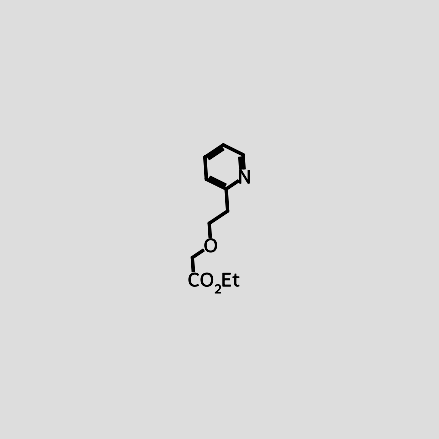 CCOC(=O)COCCc1ccccn1